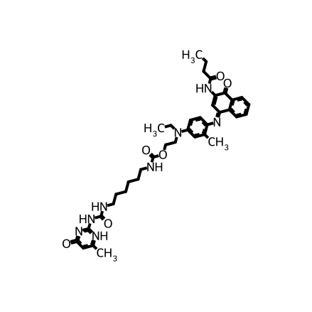 CCCC(=O)NC1=C/C(=N\c2ccc(N(CC)CCOC(=O)NCCCCCCNC(=O)Nc3nc(=O)cc(C)[nH]3)cc2C)c2ccccc2C1=O